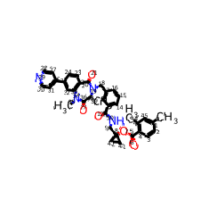 Cc1ccc(C(=O)OC2(CNC(=O)c3cccc(CN4C(=O)c5ccc(-c6ccncc6)cc5N(C)C(=O)[C@H]4C)c3)CC2)c(C)c1